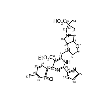 CCOC(=O)C1=C(CN2CCOC3CN(CC(C)(C)C(=O)O)CC32)NC(c2nccs2)=NC1c1ccc(F)cc1Cl